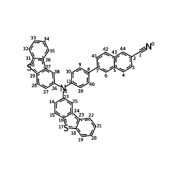 N#Cc1ccc2cc(-c3ccc(N(c4ccc5sc6ccccc6c5c4)c4ccc5sc6ccccc6c5c4)cc3)ccc2c1